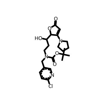 CC(C)(C)OC(=O)N(CCC(O)C1OC(=O)C=C1N1CCCC1)Cc1ccc(Cl)nc1